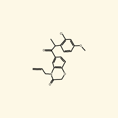 C=CCN1C(=O)COc2ccc(C(=O)C(C)c3ccc(OC)cc3Cl)cc21